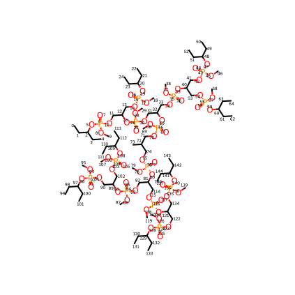 CCC(CC)OP(=O)(OC)OCC(COP(=O)(OC)OC(CC)CC)OP(=O)(OC)OCC(COP(=O)(OC)OC(COP(=O)(OC)OC(CC)CC)COP(=O)(OC)OC(CC)CC)OP(=O)(OC)OCC(C)COP(=O)(OC)OC(COP(=O)(OC)OC(COP(=O)(OC)OC(CC)CC)COP(=O)(OC)OC(CC)CC)COP(=O)(OC)OC(COP(=O)(OC)OC(CC)CC)COP(=O)(OC)OC(CC)CC